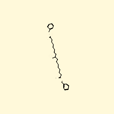 O=C(CCCCCCCC(CO)CCCCCCCC(=O)OCc1ccccc1)OCc1ccccc1